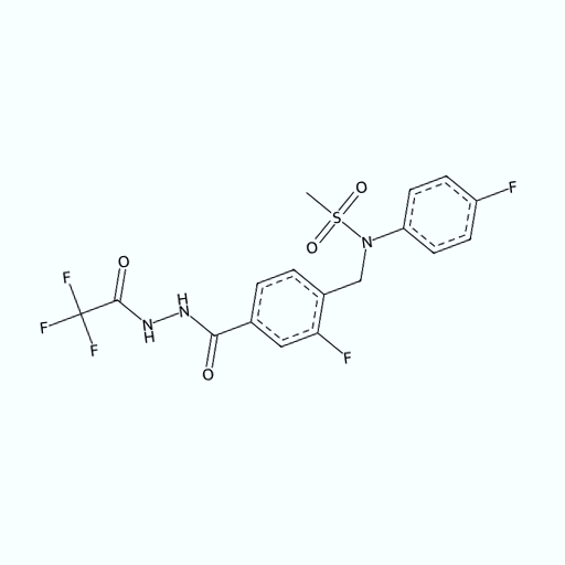 CS(=O)(=O)N(Cc1ccc(C(=O)NNC(=O)C(F)(F)F)cc1F)c1ccc(F)cc1